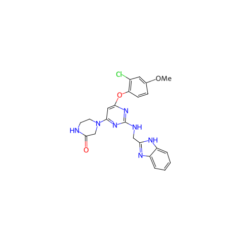 COc1ccc(Oc2cc(N3CCNC(=O)C3)nc(NCc3nc4ccccc4[nH]3)n2)c(Cl)c1